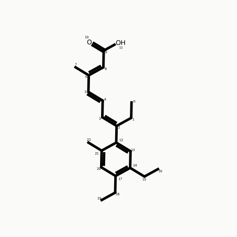 CCC(=CC=CC(C)=CC(=O)O)c1cc(CC)c(CC)cc1C